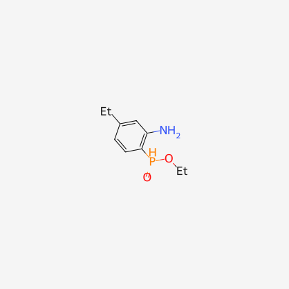 CCO[PH](=O)c1ccc(CC)cc1N